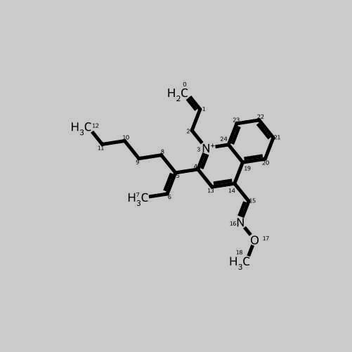 C=CC[n+]1c(C(=CC)CCCCC)cc(C=NOC)c2ccccc21